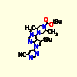 CC1CN(C(=O)OC(C)(C)C)[C@@H](C)CN1c1ncnc2c1c(C(C)(C)C)cn2-c1cc(C#N)ncn1